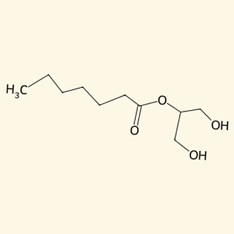 CCCCCCC(=O)OC(CO)CO